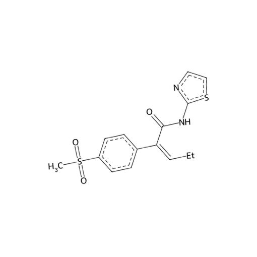 CCC=C(C(=O)Nc1nccs1)c1ccc(S(C)(=O)=O)cc1